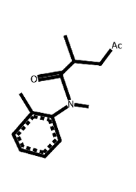 CC(=O)CC(C)C(=O)N(C)c1ccccc1C